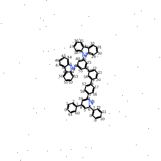 c1ccc(-c2cc(-c3ccccc3)nc(-c3ccc(-c4cccc(-c5cc(-n6c7ccccc7c7ccccc76)cc(-n6c7ccccc7c7ccccc76)c5)c4)cc3)c2)cc1